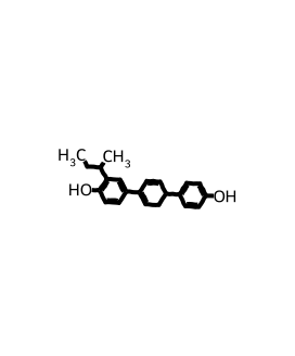 CCC(C)c1cc(C2=CCC(c3ccc(O)cc3)C=C2)ccc1O